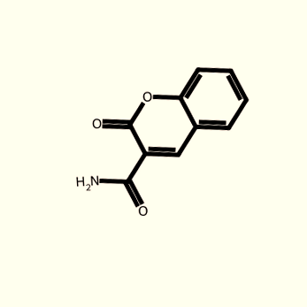 NC(=O)c1cc2ccccc2oc1=O